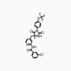 CC1(Cc2ccnc(NC(=O)c3cccc(Cl)c3)c2)NC(=O)N(c2ccc(OC(F)(F)F)cc2)C1=O